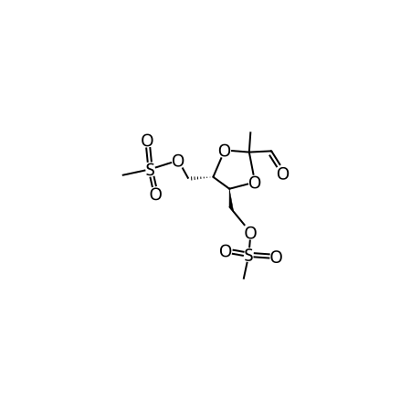 CC1(C=O)O[C@@H](COS(C)(=O)=O)[C@H](COS(C)(=O)=O)O1